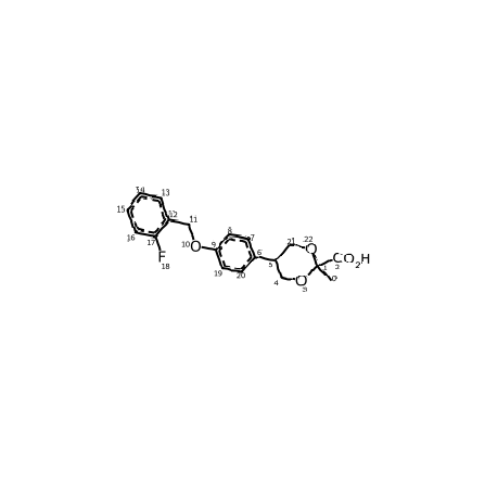 CC1(C(=O)O)OCC(c2ccc(OCc3ccccc3F)cc2)CO1